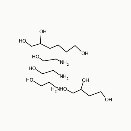 NCCO.NCCO.NCCO.OCCC(O)CO.OCCCCC(O)CO